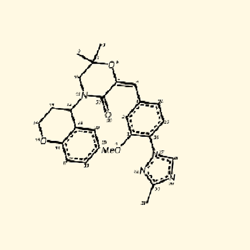 COc1cc(C=C2OC(C)(C)CN(C3CCOc4ccccc43)C2=O)ccc1-n1cnc(C)n1